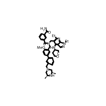 CCc1nc2c(cnn2CC)c(NC2CCOCC2)c1CN(Cc1cc(-c2cccc(CN3C[C@@H](C)N[C@@H](C)C3)c2)ccc1OC)C(=O)c1cccc(C(N)=O)c1